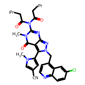 CC(C)CC(=O)N(C(=O)CC(C)C)c1nc2nn(Cc3ccnc4ccc(Cl)cc34)c(-c3cc(C#N)cn3C)c2c(=O)n1C